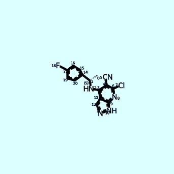 C[C@H](Nc1c(C#N)c(Cl)nc2[nH]ncc12)c1ccc(F)cc1